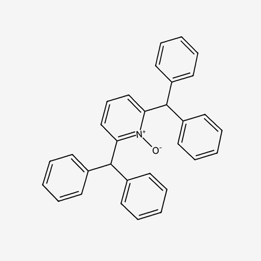 [O-][n+]1c(C(c2ccccc2)c2ccccc2)cccc1C(c1ccccc1)c1ccccc1